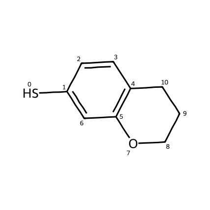 Sc1ccc2c(c1)OCCC2